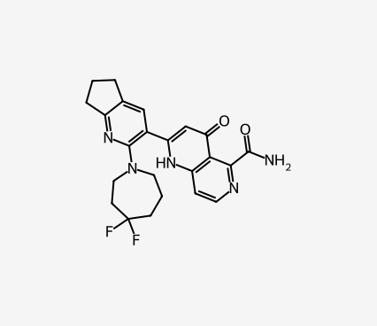 NC(=O)c1nccc2[nH]c(-c3cc4c(nc3N3CCCC(F)(F)CC3)CCC4)cc(=O)c12